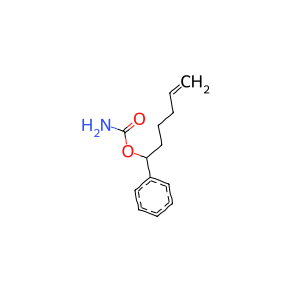 C=CCCCC(OC(N)=O)c1ccccc1